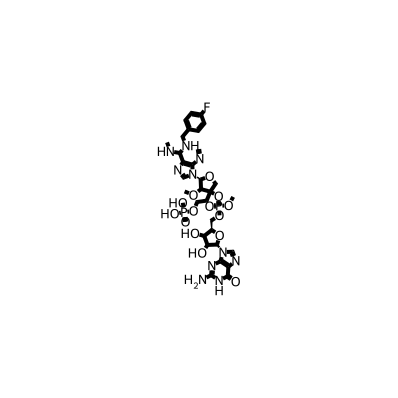 C=Nc1c(C(NC)NCc2ccc(F)cc2)ncn1[C@@H]1OCC(CCOP(=O)(O)O)(OP(=O)(OC)OC[C@H]2O[C@@H](n3cnc4c(=O)[nH]c(N)nc43)C(O)C2O)C1OC